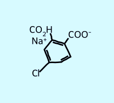 O=C([O-])c1ccc(Cl)cc1C(=O)O.[Na+]